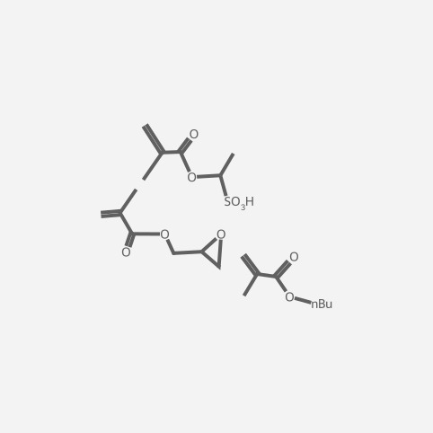 C=C(C)C(=O)OC(C)S(=O)(=O)O.C=C(C)C(=O)OCC1CO1.C=C(C)C(=O)OCCCC